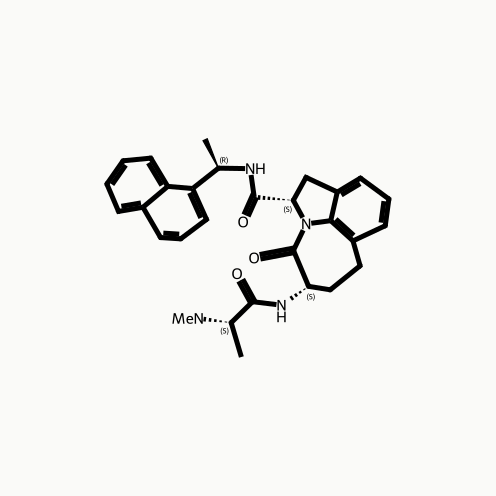 CN[C@@H](C)C(=O)N[C@H]1CCc2cccc3c2N(C1=O)[C@H](C(=O)N[C@H](C)c1cccc2ccccc12)C3